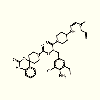 C=CCN(C)/C=C\NC1CCN(C(=O)[C@@H](Cc2cc(Cl)c(N)c(CC)c2)OC(=O)N2CCC3(CC2)OC(=O)Nc2ccccc23)CC1